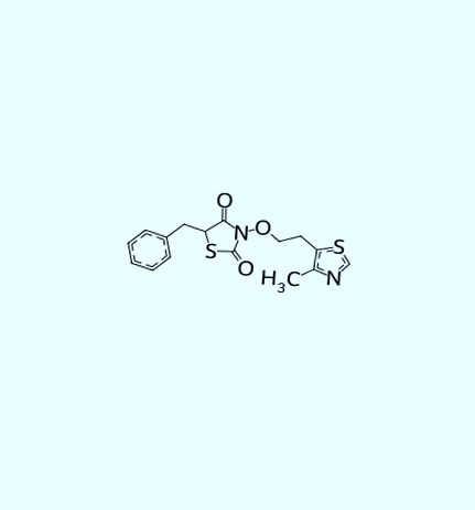 Cc1ncsc1CCON1C(=O)SC(Cc2ccccc2)C1=O